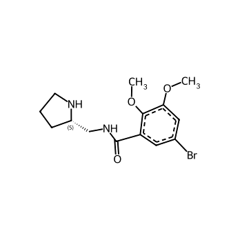 COc1cc(Br)cc(C(=O)NC[C@@H]2CCCN2)c1OC